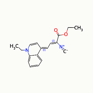 [C-]#[N+]/C(=C\C=C1/C=CN(CC)c2ccccc21)C(=O)OCC